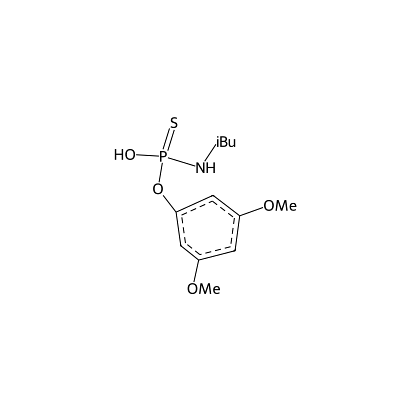 CCC(C)NP(O)(=S)Oc1cc(OC)cc(OC)c1